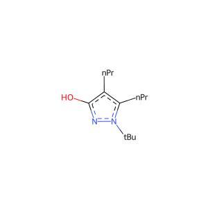 CCCc1c(O)nn(C(C)(C)C)c1CCC